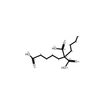 CCCCC(CCCCC(=O)O)(C(=O)O)C(=O)O